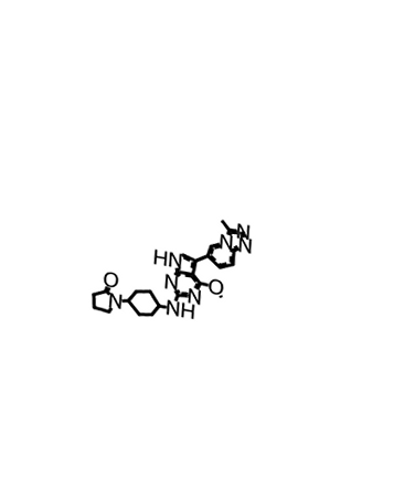 COc1nc(NC2CCC(N3CCCC3=O)CC2)nc2[nH]cc(-c3ccc4nnc(C)n4c3)c12